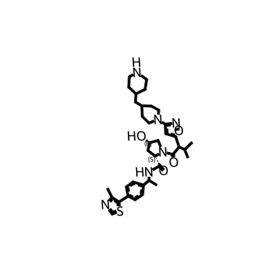 Cc1ncsc1-c1ccc(C(C)NC(=O)[C@@H]2C[C@@H](O)CN2C(=O)C(c2cc(N3CCC(CC4CCNCC4)CC3)no2)C(C)C)cc1